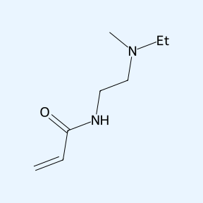 C=CC(=O)NCCN(C)CC